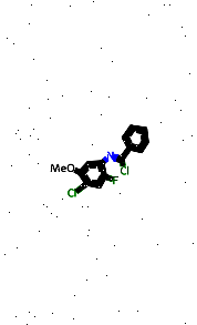 COc1cc(N=C(Cl)c2ccccc2)c(F)cc1Cl